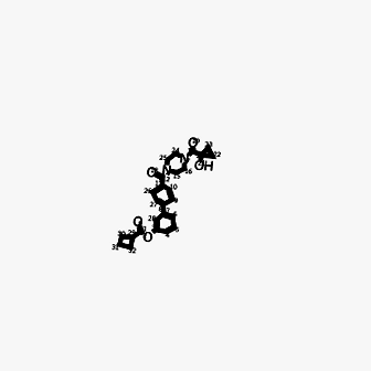 O=C(Oc1cccc(-c2ccc(C(=O)N3CCN(C(=O)C4(O)CC4)CC3)cc2)c1)C1CCC1